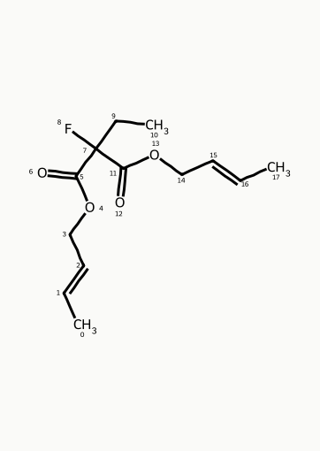 C/C=C/COC(=O)C(F)(CC)C(=O)OC/C=C/C